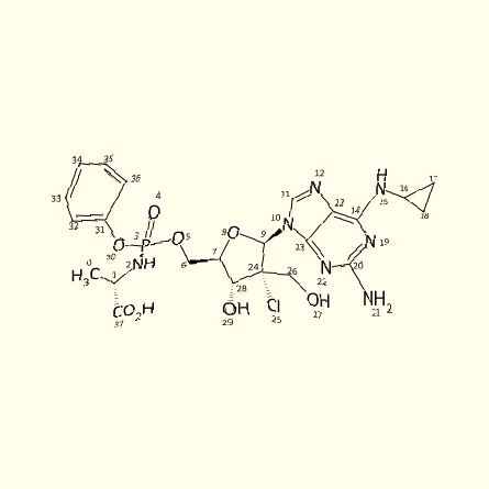 C[C@H](N[P@@](=O)(OC[C@H]1O[C@@H](n2cnc3c(NC4CC4)nc(N)nc32)[C@@](Cl)(CO)[C@@H]1O)Oc1ccccc1)C(=O)O